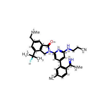 CNCc1cc2c(c(C(C)(C)F)c1)CN(c1cc(-c3cc(C#N)ccc3C(=N)NC)cc(NCCC#N)n1)C2=O